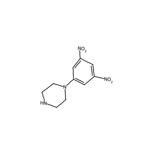 O=[N+]([O-])c1cc(N2CCNCC2)cc([N+](=O)[O-])c1